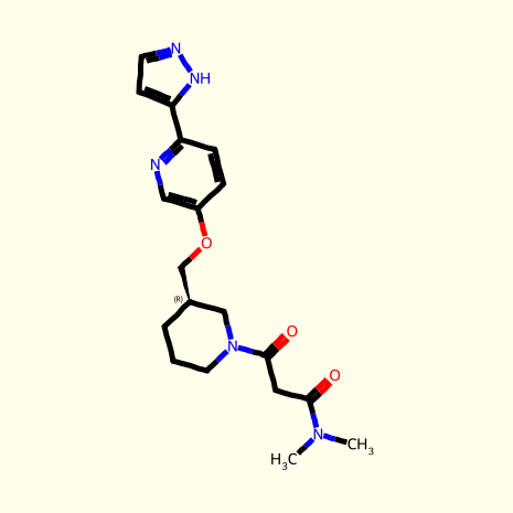 CN(C)C(=O)CC(=O)N1CCC[C@@H](COc2ccc(-c3ccn[nH]3)nc2)C1